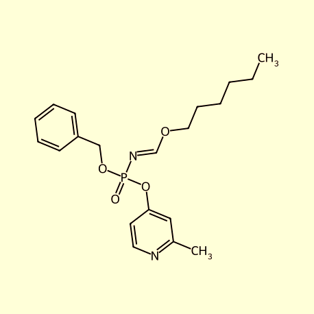 CCCCCCOC=NP(=O)(OCc1ccccc1)Oc1ccnc(C)c1